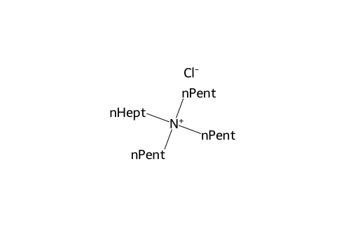 CCCCCCC[N+](CCCCC)(CCCCC)CCCCC.[Cl-]